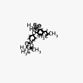 CC(C)Cc1ccc(OC2CCN(C(=O)OC(C)(C)C)CC2)c(S(C)(=N)=O)c1